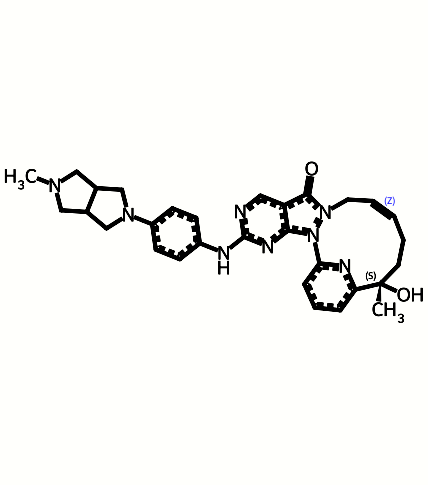 CN1CC2CN(c3ccc(Nc4ncc5c(=O)n6n(c5n4)-c4cccc(n4)[C@@](C)(O)CC/C=C\C6)cc3)CC2C1